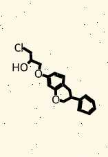 OC(CCl)COc1ccc2c(c1)OCC(c1ccccc1)C2